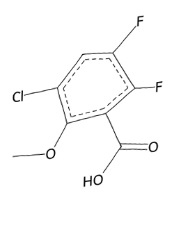 COc1c(Cl)cc(F)c(F)c1C(=O)O